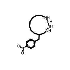 O=[N+]([O-])c1ccc(CC2CCCCCCCNNNNC2)cc1